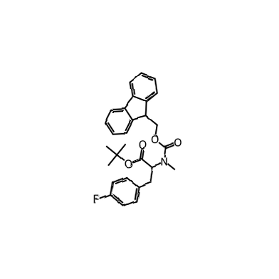 CN(C(=O)OCC1c2ccccc2-c2ccccc21)C(Cc1ccc(F)cc1)C(=O)OC(C)(C)C